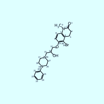 CN1C(=O)CCc2c1ccc(OCC(O)CN1CCN(c3ccccc3)CC1)c2Br